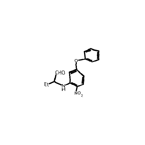 CCC(C=O)Nc1cc(Oc2ccccc2)ccc1[N+](=O)[O-]